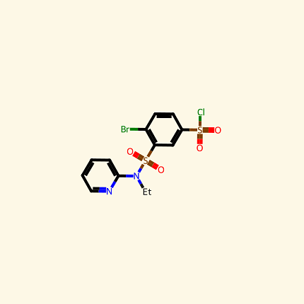 CCN(c1ccccn1)S(=O)(=O)c1cc(S(=O)(=O)Cl)ccc1Br